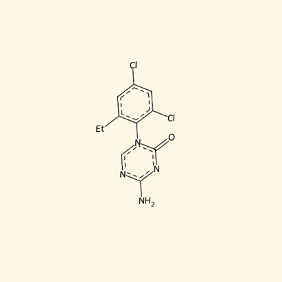 CCc1cc(Cl)cc(Cl)c1-n1cnc(N)nc1=O